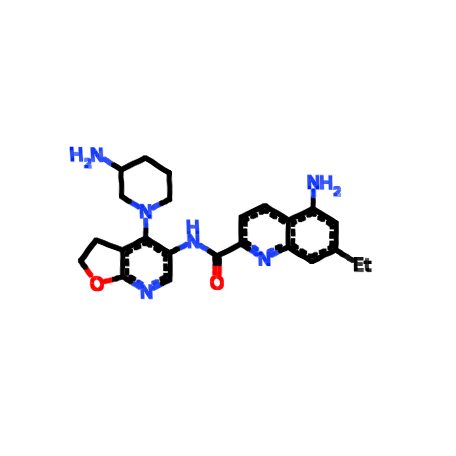 CCc1cc(N)c2ccc(C(=O)Nc3cnc4c(c3N3CCCC(N)C3)CCO4)nc2c1